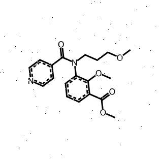 COCCCN(C(=O)c1ccncc1)c1cccc(C(=O)OC)c1OC